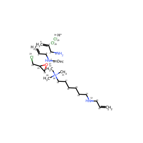 C=CCN.C=CCNCCCCCCCCCC.C=CCNCCCCCC[N+](C)(C)C.ClCC1CO1.[Cl-].[Cl-].[H+]